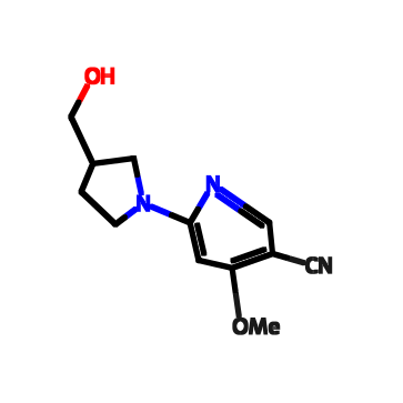 COc1cc(N2CCC(CO)C2)ncc1C#N